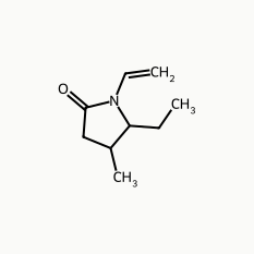 C=CN1C(=O)CC(C)C1CC